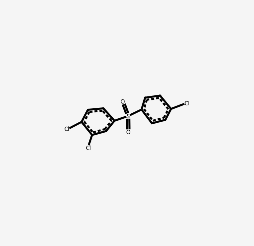 O=S(=O)(c1ccc(Cl)cc1)c1ccc(Cl)c(Cl)c1